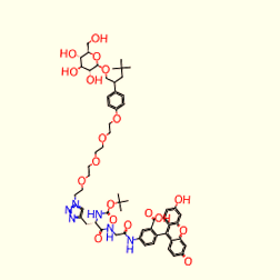 CC(C)(C)CC(CO[C@@H]1O[C@H](CO)[C@@H](O)[C@H](O)[C@H]1O)c1ccc(OCCOCCOCCOCCn2cc(C[C@H](NC(=O)OC(C)(C)C)C(=O)NCC(=O)Nc3ccc(-c4c5ccc(=O)cc-5oc5cc(O)ccc45)c(C(=O)O)c3)nn2)cc1